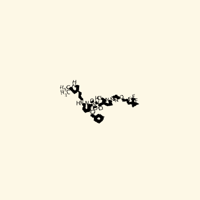 CC1(C)C[C@H](CCCNc2ccc(OCc3ccccc3)c(S(=O)(=O)NC(=O)c3ccc(-n4ccc(OCCCC5(C(F)(F)F)CC5)n4)nc3Cl)n2)CN1